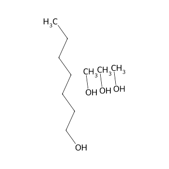 CCCCCCCO.CO.CO.CO